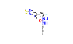 CCCCCCNC(=O)Nc1cc(-c2cc3cnc(SC)nc3nc2C)c(C)cc1F